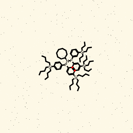 CCCC[Si](CCCC)(CCCC)c1ccc(P(c2ccc([Si](CCCC)(CCCC)CCCC)cc2)N(C2CCCCCCC2)P(c2cccc([Si](CCC)(CCC)CCC)c2)c2cccc([Si](CCC)(CCC)CCC)c2)cc1